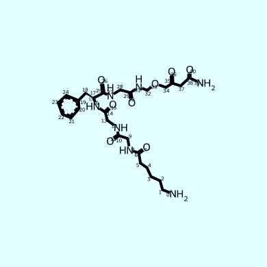 NCCCCCC(=O)NCC(=O)NCC(=O)N[C@@H](Cc1ccccc1)C(=O)NCC(=O)NCOCC(=O)CC(N)=O